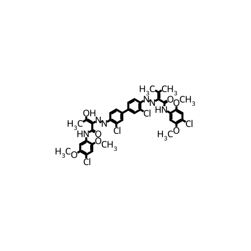 COc1cc(NC(=O)C(/N=N/c2ccc(-c3ccc(/N=N/C(C(=O)Nc4cc(OC)c(Cl)cc4OC)=C(/C)O)c(Cl)c3)cc2Cl)=C(C)C)c(OC)cc1Cl